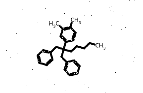 CCCCCC(Cc1ccccc1)(Cc1ccccc1)c1ccc(C)c(C)c1